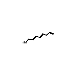 C=CCC=CC=CCCCCC